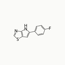 Fc1ccc(-c2cc3scnc3[nH]2)cc1